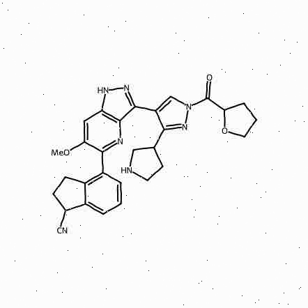 COc1cc2[nH]nc(-c3cn(C(=O)C4CCCO4)nc3C3CCNC3)c2nc1-c1cccc2c1CCC2C#N